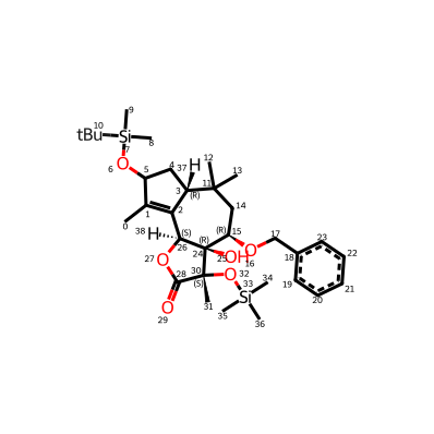 CC1=C2[C@H](CC1O[Si](C)(C)C(C)(C)C)C(C)(C)C[C@@H](OCc1ccccc1)[C@@]1(O)[C@H]2OC(=O)[C@@]1(C)O[Si](C)(C)C